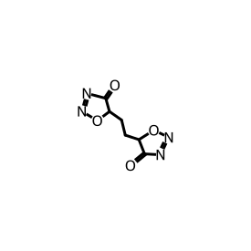 O=C1N=NOC1CCC1ON=NC1=O